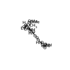 C=C(OC)/C(=C\C=C(/C)CC[C@@H](CC(=O)[C@@H]1CCCCN1C(=O)C(=O)C(C)(C)CC)c1cccc(NC(=O)CCC(=O)NCCCOCCOCCOCCCNC(=O)COc2cccc3c2C(=O)N(C2CCC(=O)NC2=O)C3=O)c1)OC